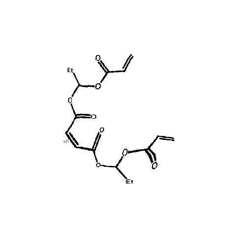 C=CC(=O)OC(CC)OC(=O)/C=C\C(=O)OC(CC)OC(=O)C=C